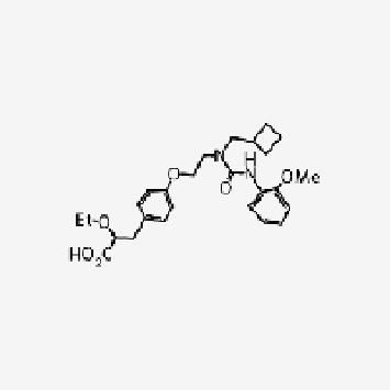 CCOC(Cc1ccc(OCCN(CC2CCC2)C(=O)Nc2ccccc2OC)cc1)C(=O)O